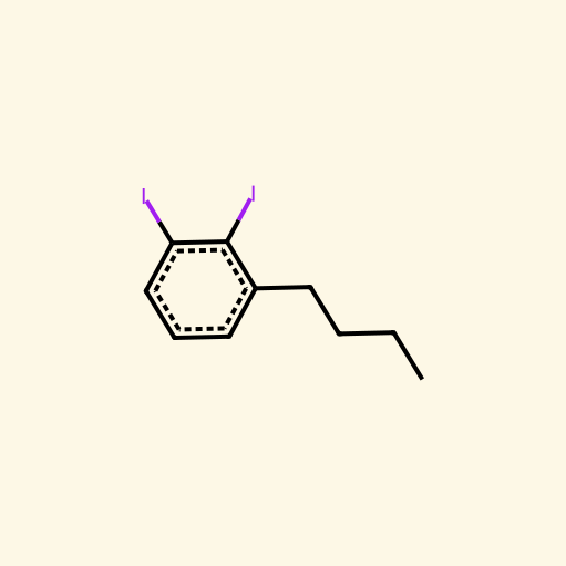 CCCCc1cccc(I)c1I